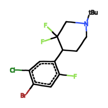 CC(C)(C)N1CCC(c2cc(Cl)c(Br)cc2F)C(F)(F)C1